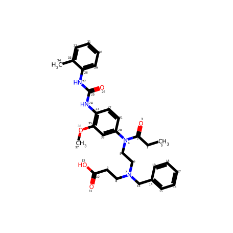 CCC(=O)N(CCN(CCC(=O)O)Cc1ccccc1)c1ccc(NC(=O)Nc2ccccc2C)c(OC)c1